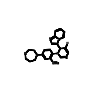 COc1cc(N2CCCOCC2)ccc1N1C=NC=C(F)C1c1cnc2ccccn12